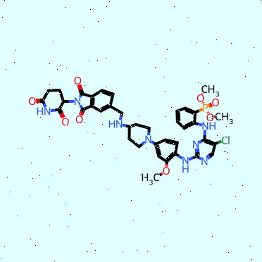 COc1cc(N2CCC(NCc3ccc4c(c3)C(=O)N(C3CCC(=O)NC3=O)C4=O)CC2)ccc1Nc1ncc(Cl)c(Nc2ccccc2P(=O)(OC)OC)n1